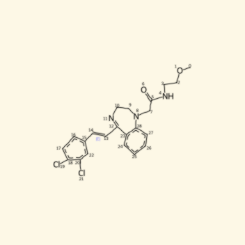 COCCNC(=O)CN1CCN=C(/C=C/c2ccc(Cl)c(Cl)c2)c2ccccc21